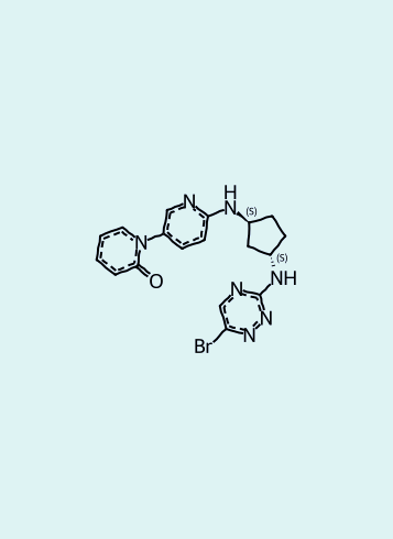 O=c1ccccn1-c1ccc(N[C@H]2CC[C@H](Nc3ncc(Br)nn3)C2)nc1